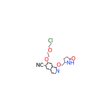 N#Cc1cc2ccnc(OCC3CCC(=O)N3)c2cc1OCCOCCCl